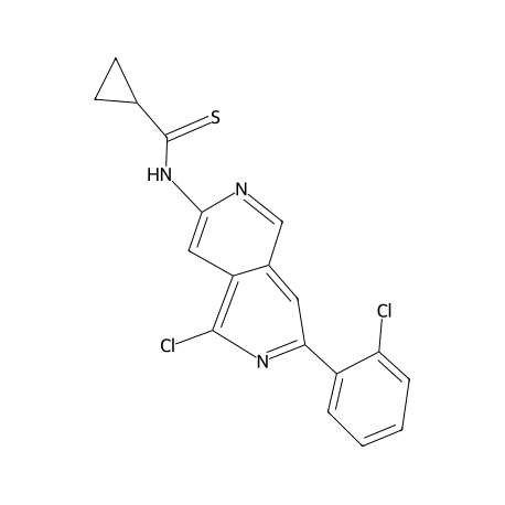 S=C(Nc1cc2c(Cl)nc(-c3ccccc3Cl)cc2cn1)C1CC1